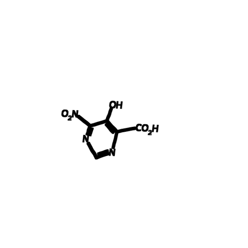 O=C(O)c1ncnc([N+](=O)[O-])c1O